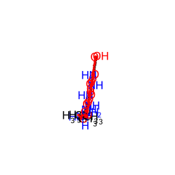 CCNC(C)(C)C(=O)CNC(C)(C)C(=O)CN[C@@H](CCCCNC(=O)COCCOCCNC(=O)COCCOCCNC(=O)COCCOCCNC(=O)CCCCCCCCCCCCCCC(=O)O)C(N)=O